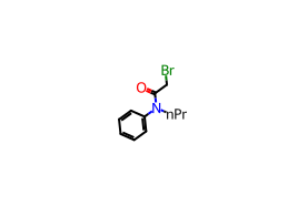 CCCN(C(=O)CBr)c1ccccc1